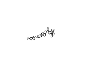 O=CC(OC1CCC(Nc2ccc([N+](=O)[O-])c(C(F)(F)F)c2)CC1)N1CCN(CCc2cc3cc(F)ccc3o2)CC1